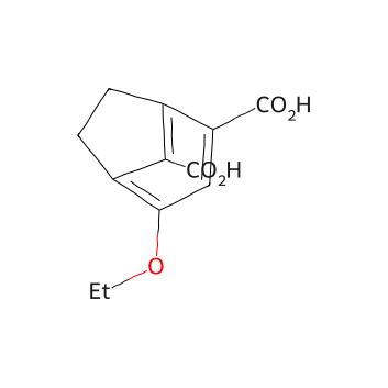 CCOc1cc(C(=O)O)c2c(C(=O)O)c1CC2